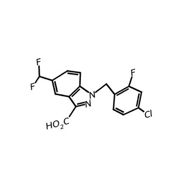 O=C(O)c1nn(Cc2ccc(Cl)cc2F)c2ccc(C(F)F)cc12